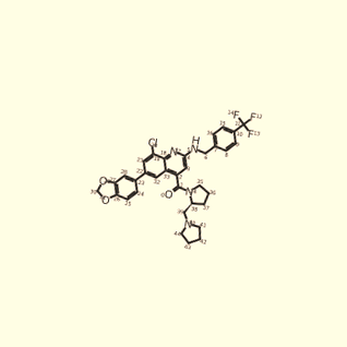 O=C(c1cc(NCc2ccc(C(F)(F)F)cc2)nc2c(Cl)cc(-c3ccc4c(c3)OCO4)cc12)N1CCC[C@H]1CN1CCCC1